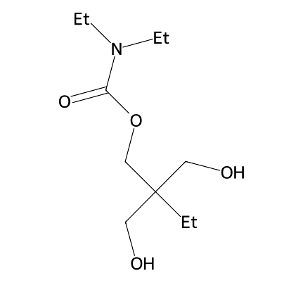 CCN(CC)C(=O)OCC(CC)(CO)CO